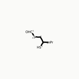 CCCC(S)CSC=O